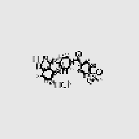 CS(=O)(=O)c1ccc(C(=O)N2CCC3(CC2)N=C(N)c2c(F)cccc2N3)cc1.Cl